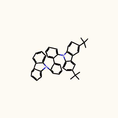 CC(C)(C)c1ccc2c(c1)c1cc(C(C)(C)C)ccc1n2-c1ccccc1-c1ccccc1-n1c2ccccc2c2ccccc21